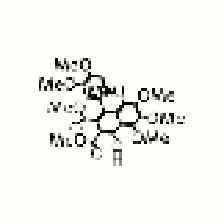 COC(=O)c1c(C(=O)OC)c(-c2ccc(OC)c(OC)c2)c2c(OC)c(OC)c(OC)c(OC)c2c1O